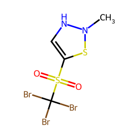 CN1NC=C(S(=O)(=O)C(Br)(Br)Br)S1